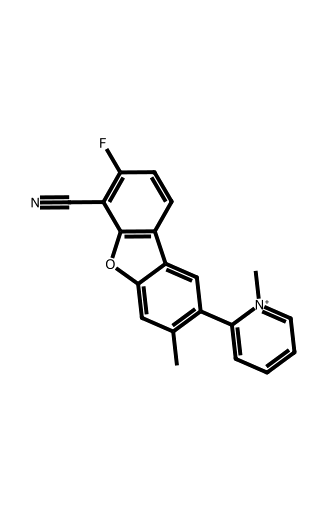 Cc1cc2oc3c(C#N)c(F)ccc3c2cc1-c1cccc[n+]1C